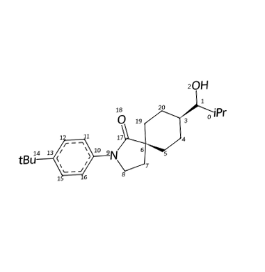 CC(C)C(O)[C@H]1CC[C@]2(CCN(c3ccc(C(C)(C)C)cc3)C2=O)CC1